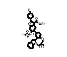 CCS(=O)(=O)Nc1cc2oc(-c3ccc(F)cc3)c(C(=O)NC)c2cc1-c1ccc2c(c1)-c1cc3ccccc3n1CC(C)(O)CO2